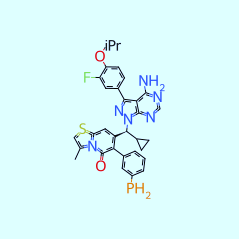 Cc1csc2cc([C@H](C3CC3)n3nc(-c4ccc(OC(C)C)c(F)c4)c4c(N)ncnc43)c(-c3cccc(P)c3)c(=O)n12